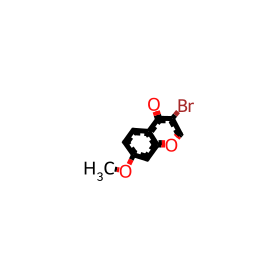 COc1ccc2c(=O)c(Br)coc2c1